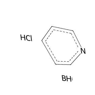 Cl.[BH].c1ccncc1